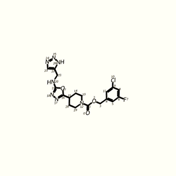 O=C(OCc1cc(F)cc(Cl)c1)N1CCC(c2nnc(NCc3cnn[nH]3)o2)CC1